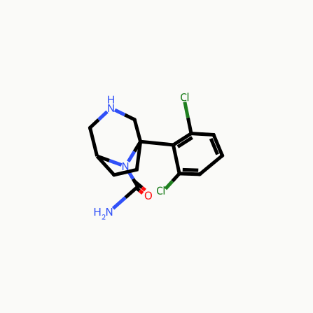 NC(=O)N1C2CCC1(c1c(Cl)cccc1Cl)CNC2